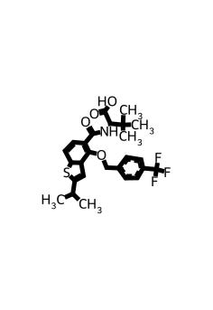 CC(C)C1=CC2C(OCc3ccc(C(F)(F)F)cc3)=C(C(=O)N[C@H](C(=O)O)C(C)(C)C)C=CC2S1